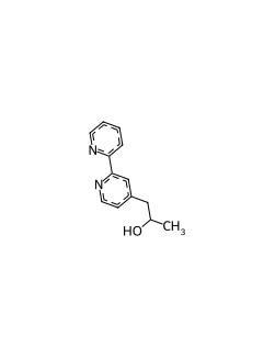 CC(O)Cc1ccnc(-c2ccccn2)c1